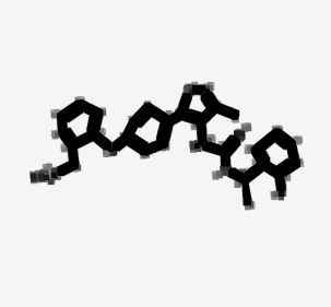 Cc1noc(-c2ccc(Sc3ccccc3CC(=O)O)cc2)c1NC(=O)O[C@H](C)c1ccccc1F